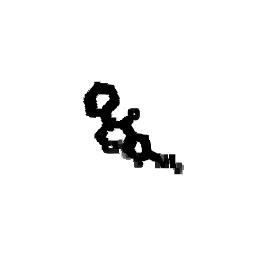 Nc1cc(C(=O)N(CC(F)(F)F)c2ccccc2)cs1